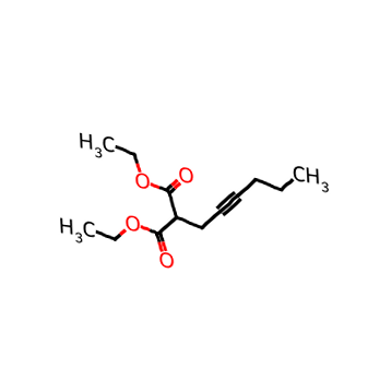 CCCC#CCC(C(=O)OCC)C(=O)OCC